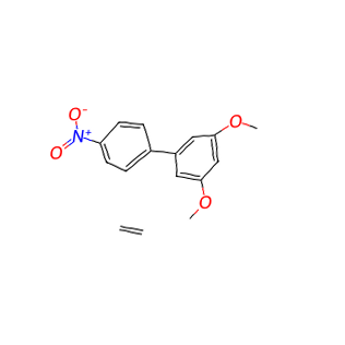 C=C.COc1cc(OC)cc(-c2ccc([N+](=O)[O-])cc2)c1